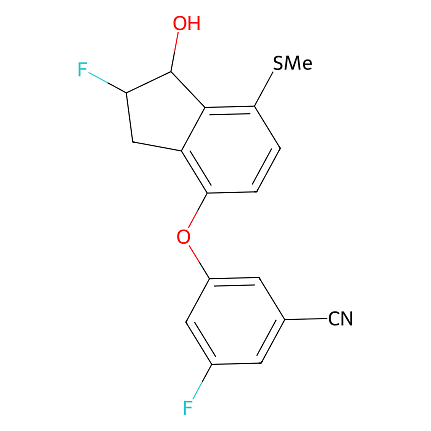 CSc1ccc(Oc2cc(F)cc(C#N)c2)c2c1C(O)C(F)C2